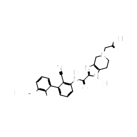 COc1cccc(-c2cccc(NC(=O)c3nc4c(n3C)CCN(CC(=O)O)C4)c2C#N)c1F